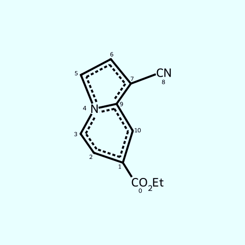 CCOC(=O)c1ccn2ccc(C#N)c2c1